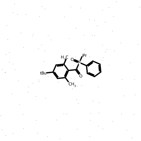 Cc1cc(C(C)(C)C)cc(C)c1C(=O)P(=O)(c1ccccc1)C(C)C